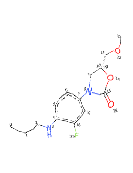 CCCNc1ccc(N2C[C@H](COC)OC2=O)cc1F